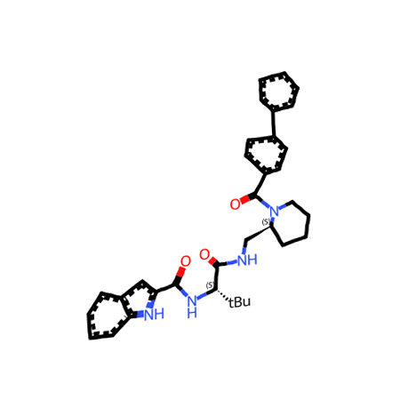 CC(C)(C)[C@H](NC(=O)c1cc2ccccc2[nH]1)C(=O)NC[C@@H]1CCCCN1C(=O)c1ccc(-c2ccccc2)cc1